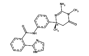 CN1C(=O)C[C@](C)(c2cccc(NC(=O)c3ccccc3-c3ncc[nH]3)c2)N=C1N